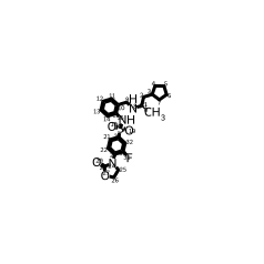 C[C@@H](CC1CCCC1)NCc1ccccc1NS(=O)(=O)c1ccc(N2CCOC2=O)c(F)c1